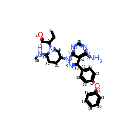 CCC(C=O)N1CC(n2nc(-c3ccc(Oc4ccccc4)cc3)c3c(N)ncnc32)CCC1NC